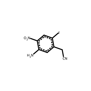 N#CCc1cc(N)c([N+](=O)[O-])cc1I